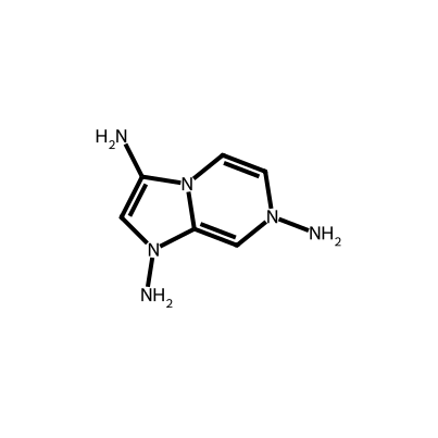 NC1=CN(N)C2=CN(N)C=CN12